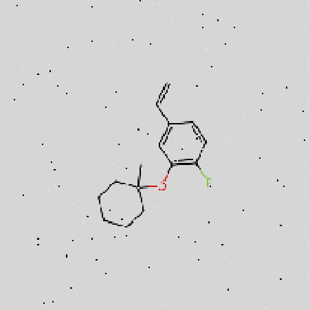 C=Cc1ccc(F)c(OC2(C)CCCCC2)c1